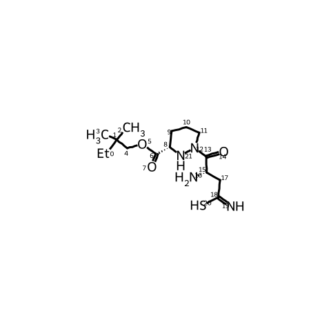 CCC(C)(C)COC(=O)[C@@H]1CCCN(C(=O)[C@@H](N)CC(=N)S)N1